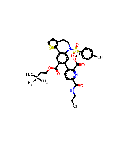 CCCNC(=O)c1ccc(-c2cc3c(cc2C(=O)OCC[Si](C)(C)C)-c2sccc2CCN3S(=O)(=O)c2ccc(C)cc2)c(C(=O)OC)n1